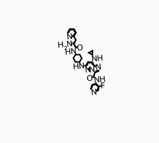 N[C@H](Cc1ccccn1)C(=O)NC1CCC(Nc2cc(NC3CC3)c3ncc(C(=O)Nc4ccncc4F)n3n2)CC1